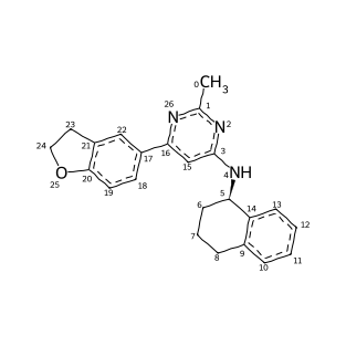 Cc1nc(N[C@@H]2CCCc3ccccc32)cc(-c2ccc3c(c2)CCO3)n1